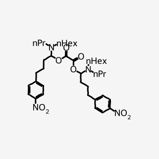 CCCCCCN(CCC)C(CCCc1ccc([N+](=O)[O-])cc1)OC(=O)C(=O)OC(CCCc1ccc([N+](=O)[O-])cc1)N(CCC)CCCCCC